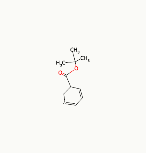 CC(C)(C)OC(=O)C1C=CC=[C]C1